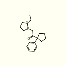 CC[C@@H]1CCCN1CC(=O)C1(c2ccccc2)CCCC1